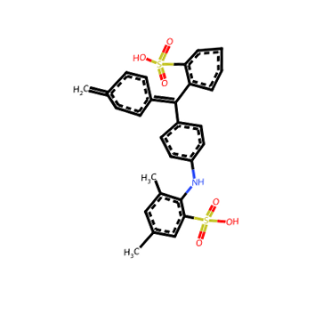 C=c1ccc(=C(c2ccc(Nc3c(C)cc(C)cc3S(=O)(=O)O)cc2)c2ccccc2S(=O)(=O)O)cc1